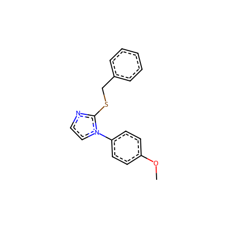 COc1ccc(-n2ccnc2SCc2ccccc2)cc1